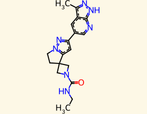 CCNC(=O)N1CC2(CCn3nc(-c4cnc5[nH]nc(C)c5c4)cc32)C1